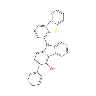 Oc1c(C2=CCCC=C2)ccc2c1c1ccccc1n2-c1cccc2c1sc1ccccc12